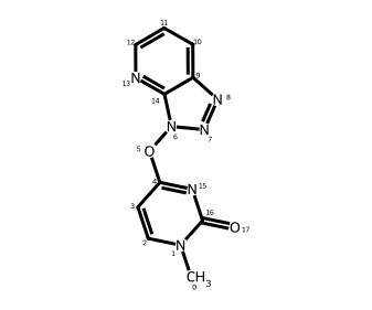 Cn1ccc(On2nnc3cccnc32)nc1=O